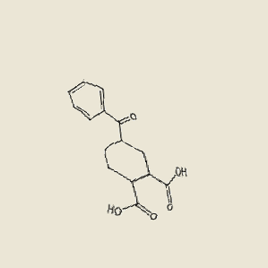 O=C(c1c[c]ccc1)C1CCC(C(=O)O)C(C(=O)O)C1